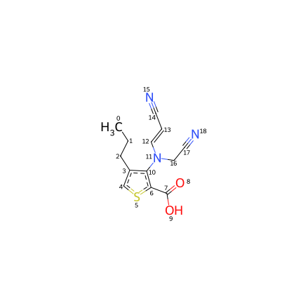 CCCc1csc(C(=O)O)c1N(C=CC#N)CC#N